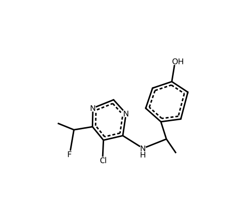 CC(F)c1ncnc(NC(C)c2ccc(O)cc2)c1Cl